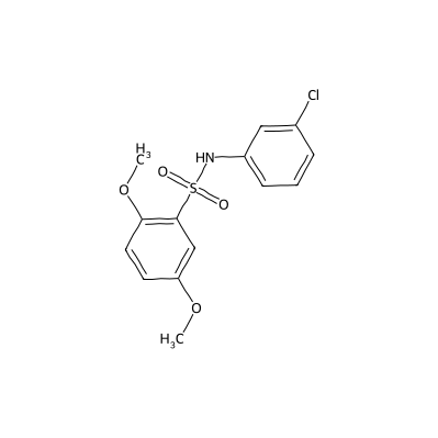 COc1ccc(OC)c(S(=O)(=O)Nc2cccc(Cl)c2)c1